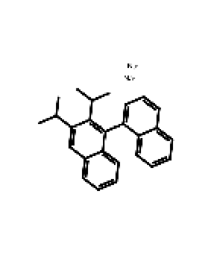 CC(C)c1cc2ccccc2c(-c2cccc3ccccc23)c1C(C)C.[Na].[Na]